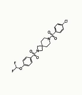 O=S(=O)(c1ccc(Cl)cc1)N1CCC2(CC1)CN(S(=O)(=O)c1ccc(OC(F)F)cc1)C2